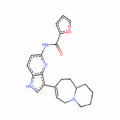 O=C(Nc1ccc2[nH]cc(C3=CCN4CCCCC4CC3)c2n1)c1ccco1